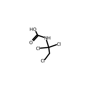 O=C(O)NC(Cl)(Cl)CCl